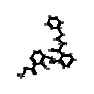 COC(=O)c1cccc(CNc2ccccc2C(=O)NOCc2ccccc2)c1F